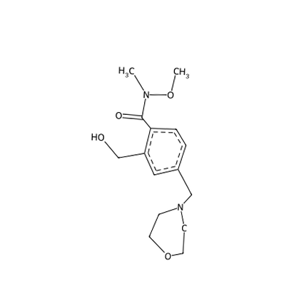 CON(C)C(=O)c1ccc(CN2CCOCC2)cc1CO